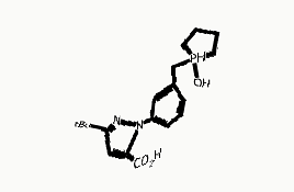 CC(C)(C)c1cc(C(=O)O)n(-c2cccc(C[PH]3(O)CCCC3)c2)n1